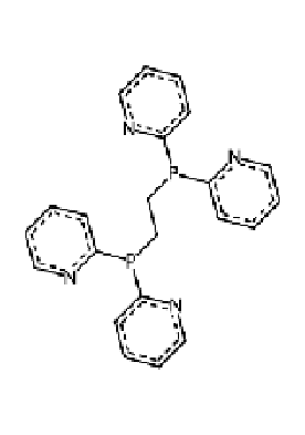 c1ccc(P(CCP(c2ccccn2)c2ccccn2)c2ccccn2)nc1